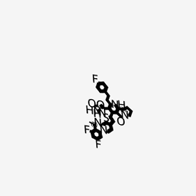 C[C@@H](Nc1nccc2cc(-c3c4c(nc(CCc5ccc(F)cc5)c3-c3n[nH]c(=O)o3)[C@@H]3CCCN3C4=O)sc12)c1ccc(F)cc1F